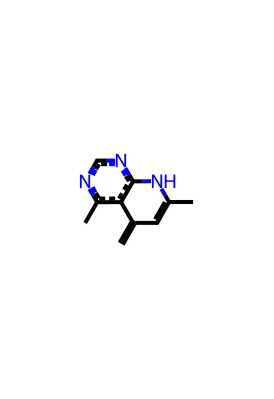 C=C1C=C(C)Nc2ncnc(C)c21